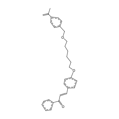 C=C(C)c1ccc(COCCCCCCOc2ccc(C=CC(=O)c3ccccc3)cc2)cc1